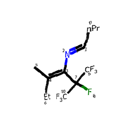 CCC/C=N/C(=C(\C)CC)C(F)(C(F)(F)F)C(F)(F)F